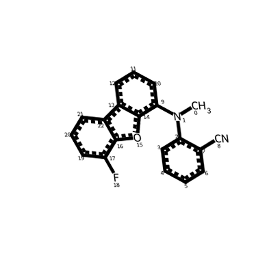 CN(c1ccccc1C#N)c1cccc2c1oc1c(F)cccc12